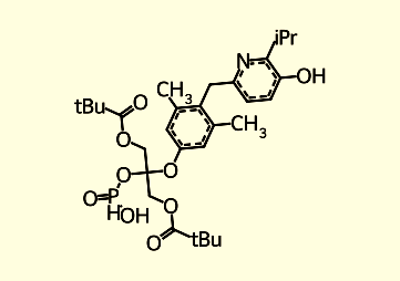 Cc1cc(OC(COC(=O)C(C)(C)C)(COC(=O)C(C)(C)C)O[PH](=O)O)cc(C)c1Cc1ccc(O)c(C(C)C)n1